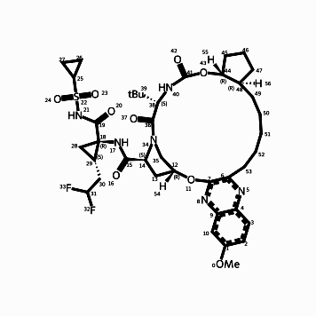 COc1ccc2nc3c(nc2c1)O[C@@H]1C[C@@H](C(=O)N[C@]2(C(=O)NS(=O)(=O)C4CC4)C[C@H]2CC(F)F)N(C1)C(=O)[C@H](C(C)(C)C)NC(=O)O[C@@H]1CCC[C@H]1CCCCC3